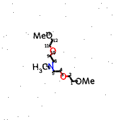 COCCOCCN(C)CCOCCOC